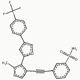 Cn1ncc(C#Cc2cccc(S(N)(=O)=O)c2)c1-c1cc(-c2ccc(C(F)(F)F)cc2)no1